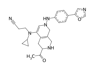 CC(=O)C1CC2=C(CN1)CN(Nc1ccc(-c3cnco3)cc1)C=C2N(CCC#N)C1CC1